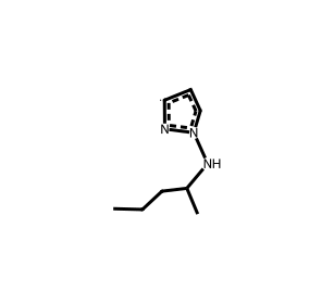 CCCC(C)Nn1cc[c]n1